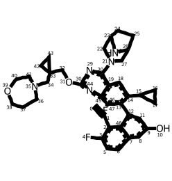 C#Cc1c(F)ccc2cc(O)cc(-c3c(C4CC4)cc4c(N5CC6CCC(C5)N6)nc(OCC5(CN6CCCOCC6)CC5)nc4c3F)c12